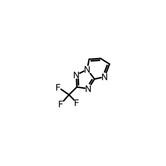 FC(F)(F)c1nc2ncccn2n1